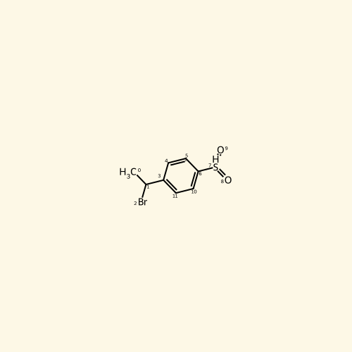 CC(Br)c1c[c]c([SH](=O)=O)cc1